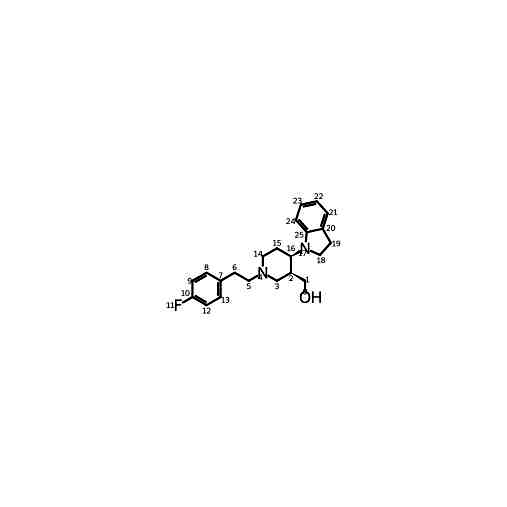 OC[C@H]1CN(CCc2ccc(F)cc2)CC[C@H]1N1CCc2ccccc21